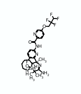 CC1(C)C(N)=N[C@](C)(c2nc(NC(=O)c3ccc(OCC(F)(F)C(F)F)cn3)ccc2F)[C@@H]2CCCCN[SH]21=O